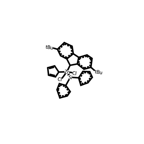 CC(C)(C)c1ccc2c(c1)[CH]([Zr]([Cl])([Cl])([CH]1C=CC=C1)=[Si](c1ccccc1)c1ccccc1)c1cc(C(C)(C)C)ccc1-2